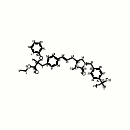 CCOC(=O)C(C)(Cc1ccc(C=CCC2CN(Cc3ccc(C(F)(F)F)cc3)C(=O)N2C)cc1)Oc1ccccc1